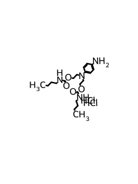 CCCCNC(=O)OCCN(CCOC(=O)NCCCC)c1ccc(N)cc1.Cl.Cl